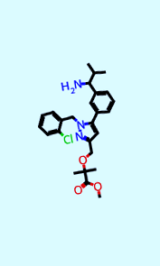 COC(=O)C(C)(C)OCc1cc(-c2cccc(C(N)C(C)C)c2)n(Cc2ccccc2Cl)n1